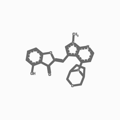 Cn1cc(C=C2Oc3cccc(O)c3C2=O)c2c(N3C4CCC3COC4)ccnc21